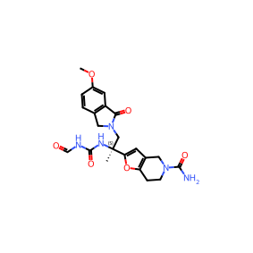 COc1ccc2c(c1)C(=O)N(C[C@](C)(NC(=O)NC=O)c1cc3c(o1)CCN(C(N)=O)C3)C2